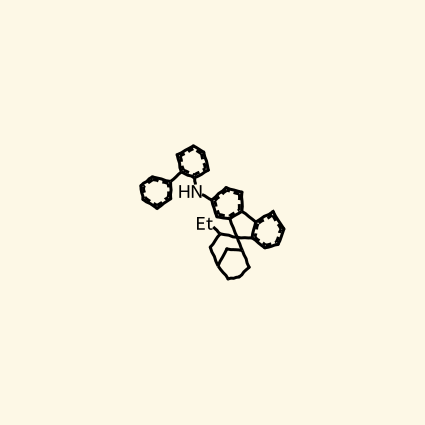 CCC1CC2CCCC(C2)C12c1ccccc1-c1ccc(Nc3ccccc3-c3ccccc3)cc12